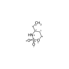 CCC1CCOS(=O)(=O)N1